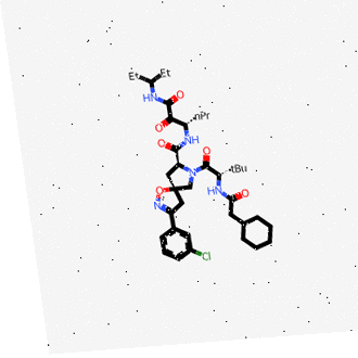 CCC[C@H](NC(=O)[C@@H]1C[C@]2(CC(c3cccc(Cl)c3)=NO2)CN1C(=O)[C@@H](NC(=O)CC1CCCCC1)C(C)(C)C)C(=O)C(=O)NC(CC)CC